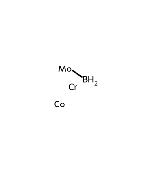 [BH2][Mo].[Co].[Cr]